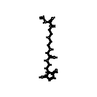 CC(C)(C)OC(=O)NCCOCCOCC(=O)OCCN1C(=O)C=CC1=O